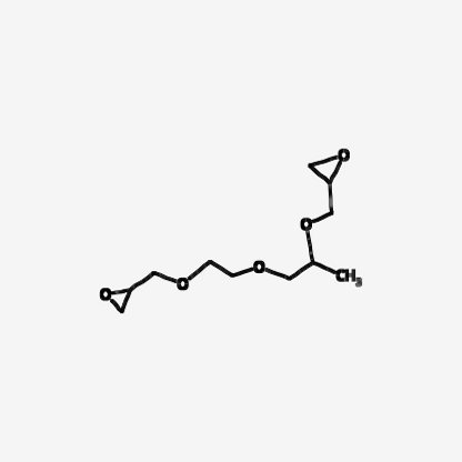 CC(COCCOCC1CO1)OCC1CO1